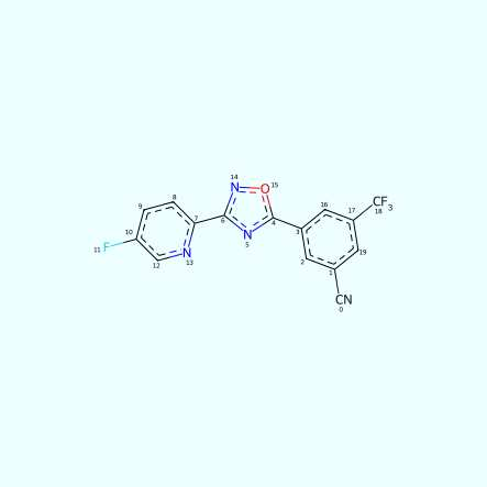 N#Cc1cc(-c2nc(-c3ccc(F)cn3)no2)cc(C(F)(F)F)c1